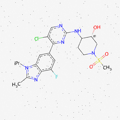 Cc1nc2c(F)cc(-c3nc(NC4CCN(S(C)(=O)=O)C[C@H]4O)ncc3Cl)cc2n1C(C)C